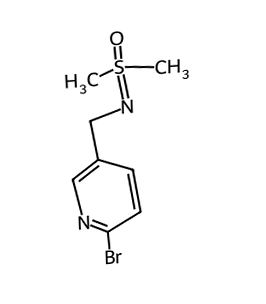 CS(C)(=O)=NCc1ccc(Br)nc1